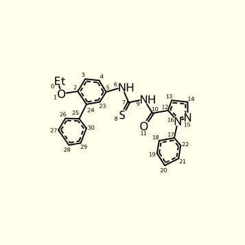 CCOc1ccc(NC(=S)NC(=O)c2ccnn2-c2ccccc2)cc1-c1ccccc1